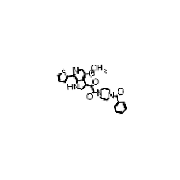 COc1cnc(-c2cccs2)c2c1C(C(=O)C(=O)N1CCN(C(=O)c3ccccc3)CC1)CN2